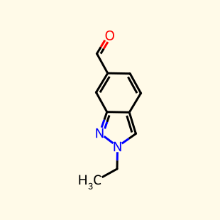 CCn1cc2ccc(C=O)cc2n1